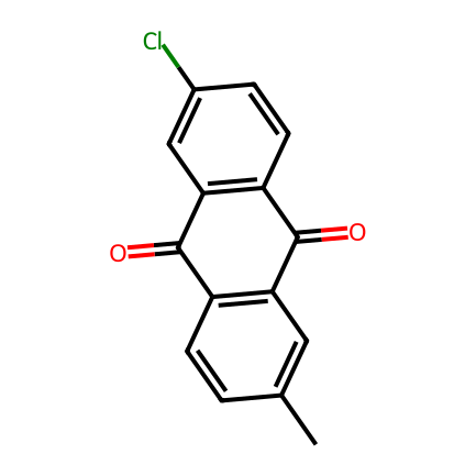 Cc1ccc2c(c1)C(=O)c1ccc(Cl)cc1C2=O